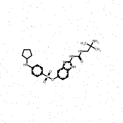 CC(C)(N)CNC(=O)Nc1nc2cc(OS(=O)(=O)c3ccc(NC4CCCC4)cc3)ccc2[nH]1